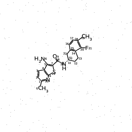 Cc1ccc2c(N)c(C(=O)N[C@H]3CCc4c(ccc(C)c4F)C3)sc2n1